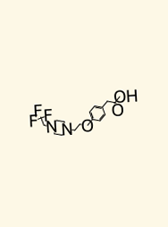 O=C(O)Cc1ccc(OCCN2CCN(CC(F)(F)F)CC2)cc1